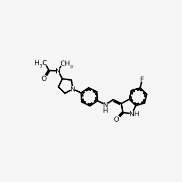 CC(=O)N(C)C1CCN(c2ccc(N/C=C3\C(=O)Nc4ccc(F)cc43)cc2)C1